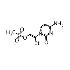 CC/C(=C\OS(C)(=O)=O)n1ccc(N)nc1=O